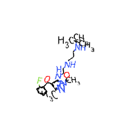 Cc1nn(C)c(NC(=O)CNCCCNC(C)(C)C)c1C(=O)c1ccccc1F